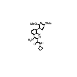 COc1ccc(-c2cccc3c(N)c(C(=O)NC4CCC4)nnc23)c(OC)n1